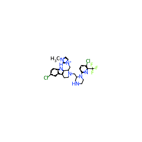 Cn1cc[n+](CC2c3[nH]c4ccc(Cl)cc4c3CCN2CC2CNCCN2c2ccc(Cl)c(C(F)(F)F)n2)c1